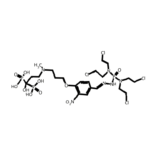 CN(CCCOc1ccc(/C=N/NP(=O)(N(CCCl)CCCl)N(CCCl)CCCl)cc1[N+](=O)[O-])CCC(O)(P(=O)(O)O)P(=O)(O)O